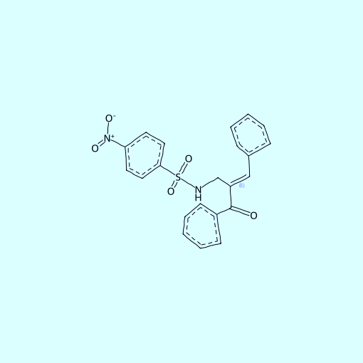 O=C(/C(=C/c1ccccc1)CNS(=O)(=O)c1ccc([N+](=O)[O-])cc1)c1ccccc1